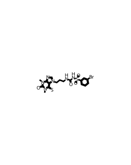 Cn1c(=S)c2c(ncn2CCCNC(=O)NS(=O)(=O)c2cccc(Br)c2)n(C)c1=O